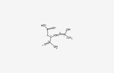 CC(=O)O.O=C(O)CC(O)C(=O)O